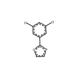 Clc1cc(Cl)cc(-c2nc[c]o2)c1